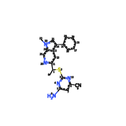 CC(Sc1nc(N)cc(C#N)n1)c1cc2c(-c3ccccc3)cn(C)c2cn1